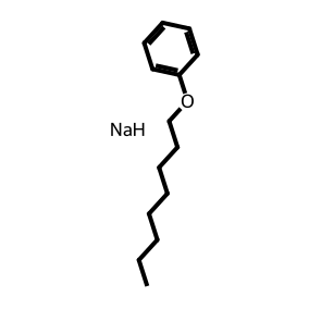 CCCCCCCCOc1ccccc1.[NaH]